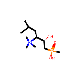 CC(C)C[C@@H]([C@H](O)CP(C)(=O)O)[N+](C)(C)C